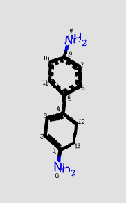 NC1=CC=C(c2ccc(N)cc2)CC1